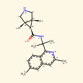 Cc1ccc2c(C(C)(C)NC(=O)[C@H]3[C@@H]4CNC[C@@H]43)nc(C)cc2c1